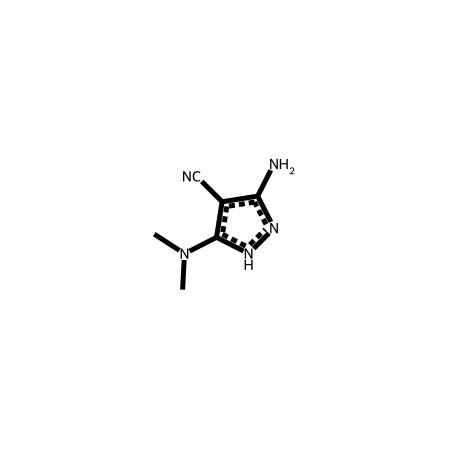 CN(C)c1[nH]nc(N)c1C#N